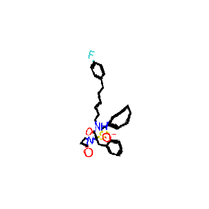 O=C1CCN1C(Cc1ccccc1)(C(=O)NCCCCCCc1ccc(F)cc1)[S+]([O-])Cc1ccccc1